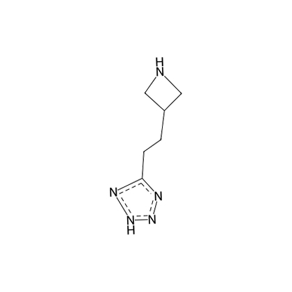 C(CC1CNC1)c1nn[nH]n1